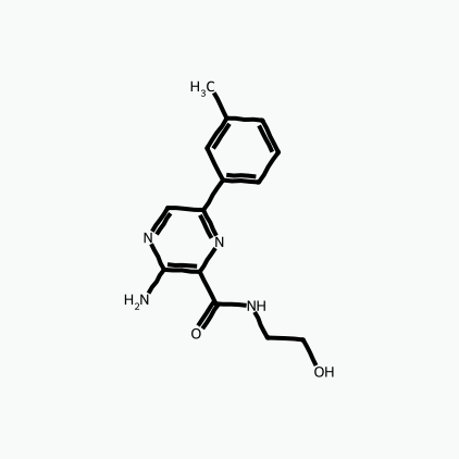 Cc1cccc(-c2cnc(N)c(C(=O)NCCO)n2)c1